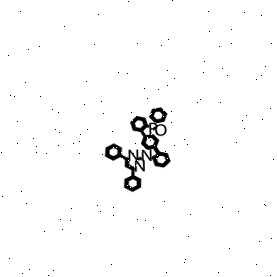 O=P1(c2ccccc2)c2ccccc2-c2cc3c(cc21)c1ccccc1n3-c1nc(-c2ccccc2)cc(-c2ccccc2)n1